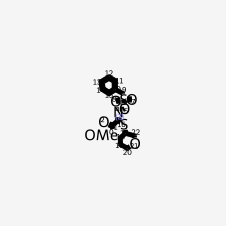 COC(=O)/C(=N/OS(=O)(=O)Cc1ccccc1)SC1CCCOC1